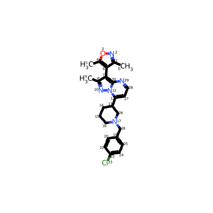 Cc1noc(C)c1-c1c(C)nn2c(C3CCCN(Cc4ccc(Cl)cc4)C3)ccnc12